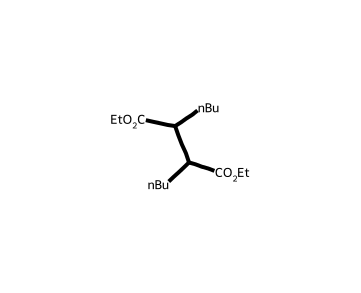 CCCCC(C(=O)OCC)C(CCCC)C(=O)OCC